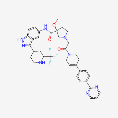 CO[C@@]1(C(=O)Nc2ccc3[nH]nc(C4CCNC(C(F)(F)F)C4)c3c2)CCN(CC(=O)N2CC=C(c3ccc(-c4ncccn4)cc3)CC2)C1